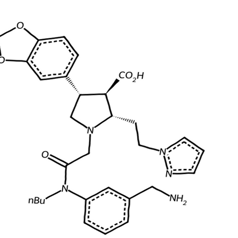 CCCCN(C(=O)CN1C[C@H](c2ccc3c(c2)OCO3)[C@@H](C(=O)O)[C@@H]1CCn1cccn1)c1cccc(CN)c1